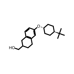 CC(C)(C)[C@H]1CC[C@H](Oc2ccc3c(c2)CCC(CO)C3)CC1